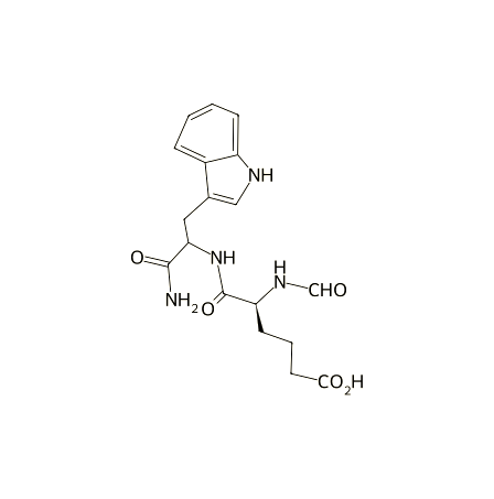 NC(=O)C(Cc1c[nH]c2ccccc12)NC(=O)[C@H](CCCC(=O)O)NC=O